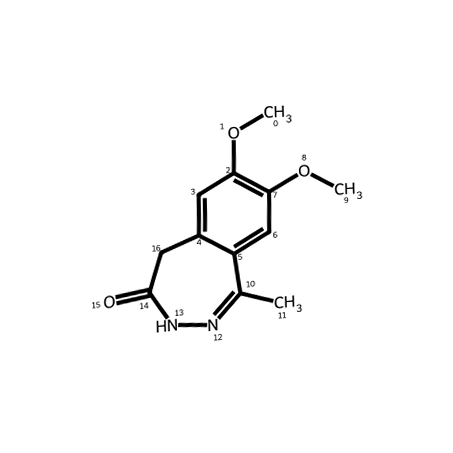 COc1cc2c(cc1OC)C(C)=NNC(=O)C2